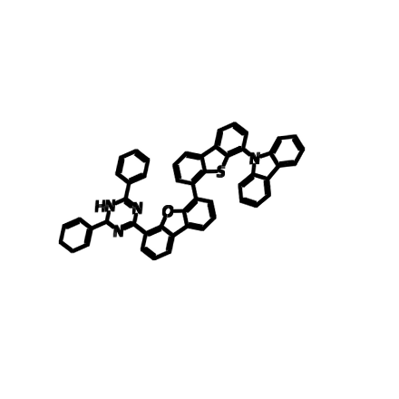 C1=CC(C2N=C(c3cccc4c3oc3c(-c5cccc6c5sc5c(-n7c8ccccc8c8ccccc87)cccc56)cccc34)N=C(c3ccccc3)N2)=CCC1